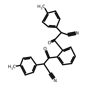 Cc1ccc(C(C#N)C(=O)c2ccccc2C(=O)C(C#N)c2ccc(C)cc2)cc1